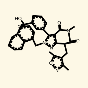 Cc1noc(C)c1CC1C(=O)N(C)C(=O)c2c1nn(Cc1cccc3ccccc13)c2-c1cccc(C(=O)O)c1